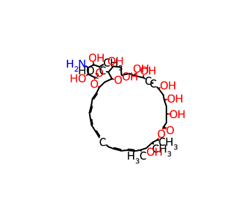 CC1/C=C/C=C/CC/C=C/C=C\C=C\C=C\C(OC2OC(C)C(O)C(N)C2O)CC2OC(O)(CC(O)C(O)CCC(O)CC(O)CC(O)CC(=O)OC(C)C(C)C1O)CC(O)C2C(=O)O